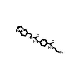 CC(C)CCNC(=O)c1ccc(NC(=O)NCc2ccc3nccn3c2)cc1